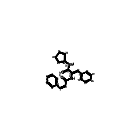 O=C(/C=C\c1ccccc1)N/C(=C\c1ccccc1)C(=O)NC1CCCC1